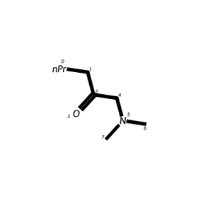 CCCCC(=O)CN(C)C